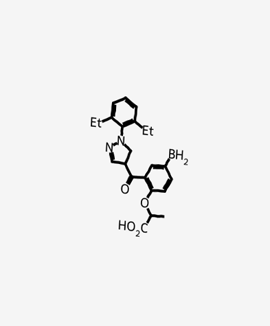 Bc1ccc(OC(C)C(=O)O)c(C(=O)C2C=NN(c3c(CC)cccc3CC)C2)c1